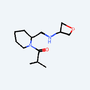 CC(C)C(=O)N1CCCCC1CNC1COC1